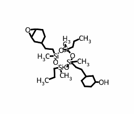 CCC[Si]1(C)O[Si](C)(CCC2CCCC(O)C2)O[Si](C)(CCC)O[Si](C)(CCC2CCC3OC3C2)O1